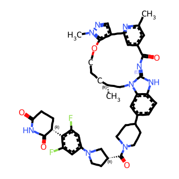 Cc1cc2cc(n1)-c1cnn(C)c1OCCC[C@@H](C)CN1/C(=N/C2=O)Nc2ccc(C3CCN(C(=O)[C@@H]4CCN(c5cc(F)c([C@H]6CCC(=O)NC6=O)c(F)c5)C4)CC3)cc21